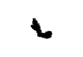 C=CCC1CCC2C(C3CC=C(C4CCC=C(C5CCC(C6CCC7CCC8C=CCC9CCC6C7C89)CC5)C4)CC3)CCC(CC)C2C1C(=C)CC1=CCC(F)CC1